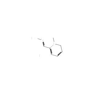 CN1CC=CC=C1C=NO.Cl